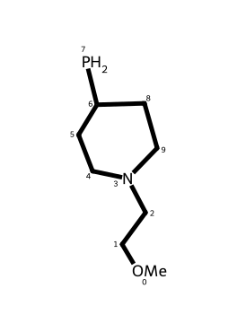 COCCN1CCC(P)CC1